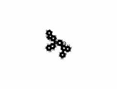 CC1(C)c2ccccc2-c2ccc(N(c3ccc4ccccc4c3)C3C=Cc4oc5c(cc(-c6ccccc6)c6ccccc65)c4C3)cc21